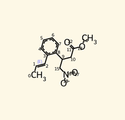 C/C=C/c1ccccc1C(CC(=O)OC)C[N+](=O)[O-]